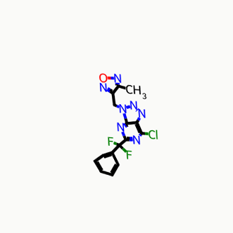 Cc1nonc1Cn1nnc2c(Cl)nc(C(F)(F)c3ccccc3)nc21